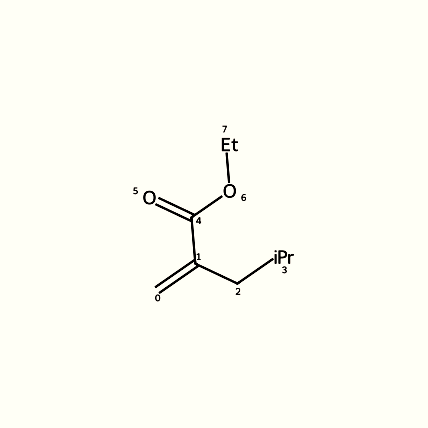 C=C(CC(C)C)C(=O)OCC